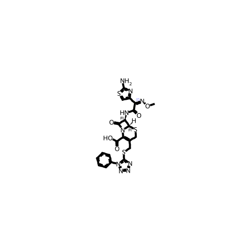 CO/N=C(\C(=O)N[C@@H]1C(=O)N2C(C(=O)O)=C(CSc3nnnn3-c3ccccc3)CS[C@H]12)c1csc(N)n1